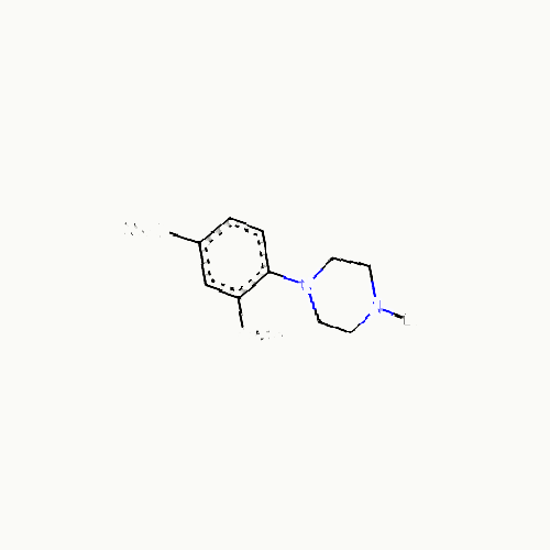 CCN1CCN(c2ccc(OC)cc2OC)CC1